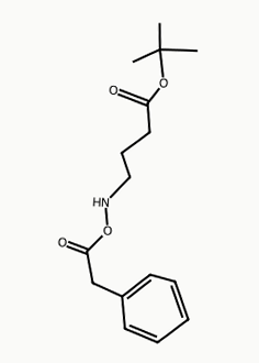 CC(C)(C)OC(=O)CCCNOC(=O)Cc1ccccc1